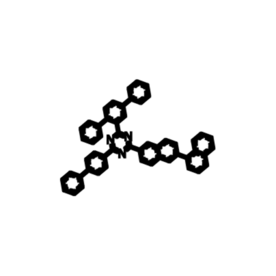 c1ccc(-c2ccc(-c3nc(-c4ccc5cc(-c6cccc7ccccc67)ccc5c4)nc(-c4cc(-c5ccccc5)ccc4-c4ccccc4)n3)cc2)cc1